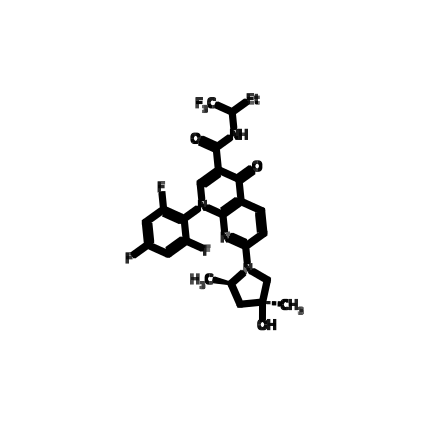 CCC(NC(=O)c1cn(-c2c(F)cc(F)cc2F)c2nc(N3C[C@@](C)(O)C[C@H]3C)ccc2c1=O)C(F)(F)F